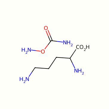 NCCCC(N)C(=O)O.NOC(N)=O